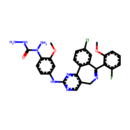 COc1cc(Nc2ncc3c(n2)-c2ccc(Cl)cc2C(c2c(F)cccc2OC)=NC3)ccc1N(N)C(=O)NN